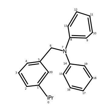 CC(C)c1cccc(CN(c2ccccc2)c2ccccc2)c1